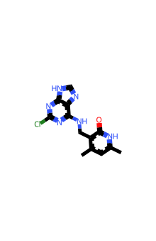 Cc1cc(C)c(CNc2nc(Cl)nc3[nH]cnc23)c(=O)[nH]1